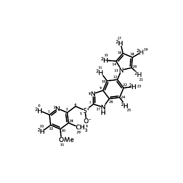 [2H]c1nc(C[S+]([O-])c2nc3c([2H])c(-n4c([2H])c([2H])c([2H])c4[2H])c([2H])c([2H])c3[nH]2)c(C)c(OC)c1[2H]